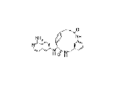 Nc1nccc2cc(NC3C(=O)NCc4cccc(c4)NC(=O)CCc4ccc3cc4)ccc12